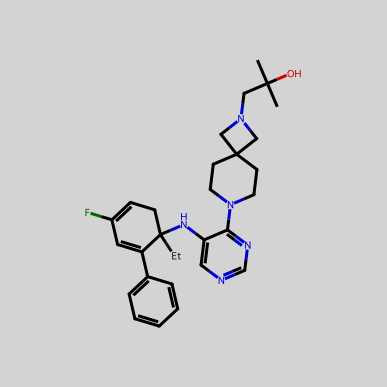 CCC1(Nc2cncnc2N2CCC3(CC2)CN(CC(C)(C)O)C3)CC=C(F)C=C1c1ccccc1